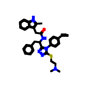 COc1ccc(-n2c(SCCN(C)C)nnc2C(Cc2ccccc2)NC(=O)Cc2c(C)[nH]c3ccccc23)cc1